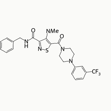 CNc1c(C(=O)NCc2ccccc2)nsc1C(=O)N1CCN(c2cccc(C(F)(F)F)c2)CC1